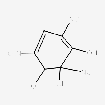 O=[N+]([O-])C1=CC([N+](=O)[O-])=C(O)C(O)([N+](=O)[O-])C1O